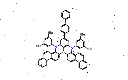 CC(C)(C)c1cc(N2c3cc(-c4ccc(-c5ccccc5)cc4)cc4c3B(c3ccc5c(ccc6ccccc65)c32)c2ccc3c(ccc5ccccc53)c2N4c2cc(C(C)(C)C)cc(C(C)(C)C)c2)cc(C(C)(C)C)c1